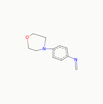 C=Nc1ccc(N2CCOCC2)cc1